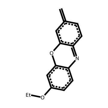 C=c1ccc2c(c1)Oc1cc(OCC)ccc1N=2